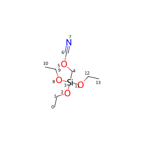 CCO[Si](COC#N)(OCC)OCC